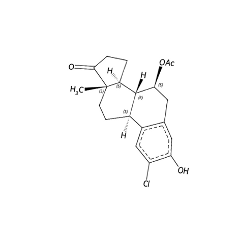 CC(=O)O[C@H]1Cc2cc(O)c(Cl)cc2[C@H]2CC[C@]3(C)C(=O)CC[C@H]3[C@H]12